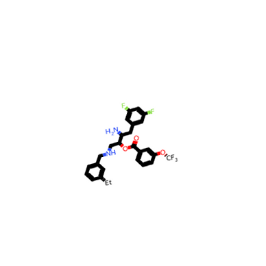 CCc1cccc(CNCC(OC(=O)c2cccc(OC(F)(F)F)c2)C(N)Cc2cc(F)cc(F)c2)c1